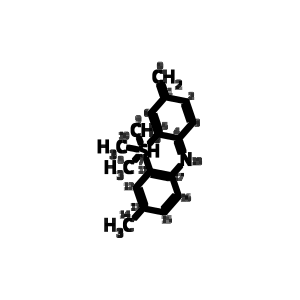 C=c1ccc2c(c1)[SH](C)(C)(C)c1cc(C)ccc1N=2